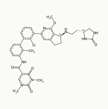 COc1nc(-c2cccc(-c3cccc(NC(=O)c4cn(C)c(=O)n(C)c4=O)c3C)c2Cl)cc2c1[C@@H](NCC[C@@H]1CNC(=O)N1)CC2